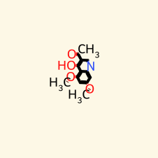 COc1cc(OC)c2c(O)c(C(C)=O)cnc2c1